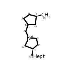 CCCCCCC[C@@H]1CCN(CC2CC[C@@H](C)C2)C1